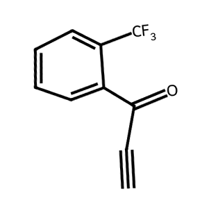 C#CC(=O)c1ccccc1C(F)(F)F